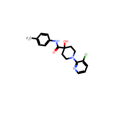 O=C(Nc1ccc(C(F)(F)F)cc1)C1(O)CCN(c2ncccc2Cl)CC1